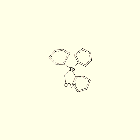 O=C(O)[CH2][Pb]([c]1ccccc1)([c]1ccccc1)[c]1ccccc1